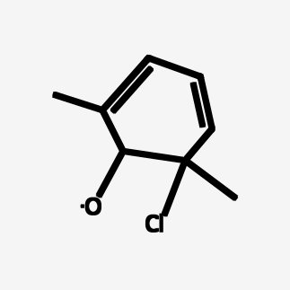 CC1=CC=CC(C)(Cl)C1[O]